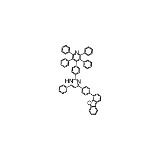 C1=C(c2ccccc2)NC(c2ccc(-c3c(-c4ccccc4)c(-c4ccccc4)nc(-c4ccccc4)c3-c3ccccc3)cc2)N=C1c1ccc(-c2cccc3c2oc2ccccc23)cc1